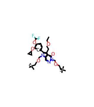 CCOCCc1c(-c2ccc(OC(F)F)c(OC3CC3)c2)n(COCC[Si](C)(C)C)c2cnn(COCC[Si](C)(C)C)c(=O)c12